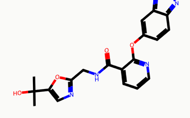 CC(C)(O)c1cnc(CNC(=O)c2cccnc2Oc2ccc3nonc3c2)o1